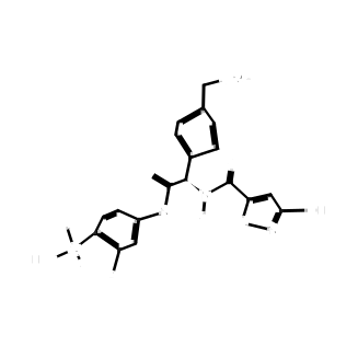 COCc1ccc([C@H](C(=O)Nc2ccc([Si](C)(C)C)c(F)c2)N(C)C(=O)c2cc(O)no2)cc1